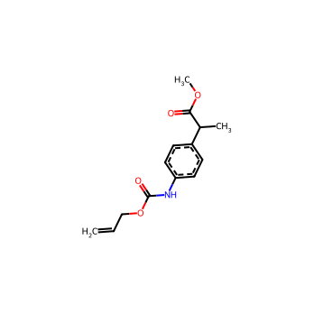 C=CCOC(=O)Nc1ccc(C(C)C(=O)OC)cc1